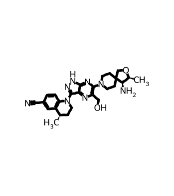 C[C@@H]1OCC2(CCN(c3nc4[nH]nc(N5CC[C@H](C)c6cc(C#N)ccc65)c4nc3CO)CC2)[C@@H]1N